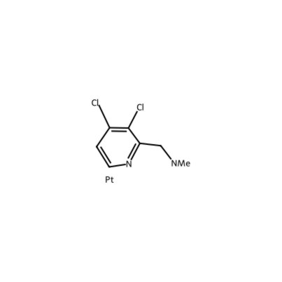 CNCc1nccc(Cl)c1Cl.[Pt]